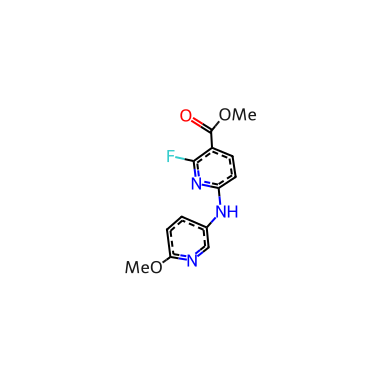 COC(=O)c1ccc(Nc2ccc(OC)nc2)nc1F